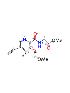 C#Cc1cnc(C(=O)NCC(=O)OC)c(OCOC)c1C